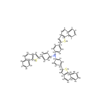 c1ccc2c(c1)ccc1cc(-c3ccc(N(c4ccc(-c5cc6ccc7ccccc7c6s5)cc4)c4ccc(-c5cc6ccc7ccccc7c6s5)cc4)cc3)sc12